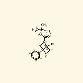 CC(C)(C)OC(=O)N1CC2(c3ccccc3)OC[C@@H]12